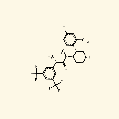 Cc1cc(F)ccc1[C@@H]1CNCC[C@H]1N(C)C(=O)[C@@H](C)c1cc(C(F)(F)F)cc(C(F)(F)F)c1